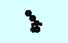 O=C1CC(c2ccc(-c3ccccc3)cc2)C(=O)N1c1cccn2cnnc12